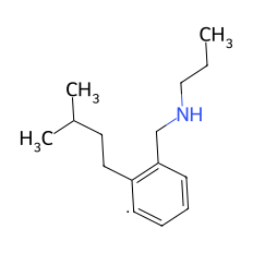 CCCNCc1ccc[c]c1CCC(C)C